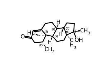 C[C@@H]1CC(=O)C=C2CC[C@@H]3[C@H](CC[C@@]4(C)[C@H]3CC[C@]4(C)O)[C@]21CO